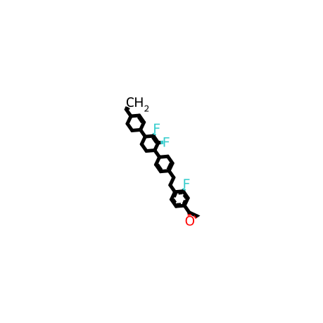 C=CC1C=CC(C2CCC(C3C=CC(CCc4ccc(C5CO5)cc4F)=CC3)C(F)=C2F)CC1